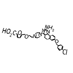 Nc1nc2c(c(N3CCN(CCOCc4ccc(C(=O)O)o4)CC3)n1)CCc1cc(OCc3ccc(Cl)cc3)ccc1-2